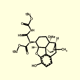 CO[C@@]12CC[C@H](N(C(=N)NC(=O)OC(C)(C)C)C(=O)OC(C)(C)C)[C@@H]3Oc4c(O)ccc5c4[C@@]31CCN(C)[C@@H]2C5